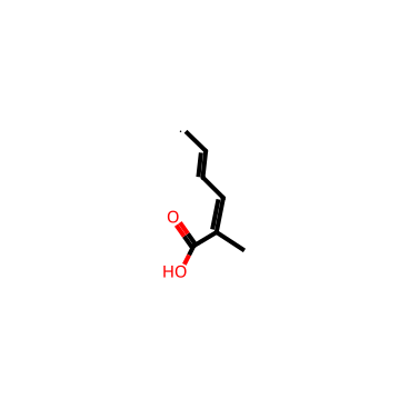 [CH2]C=CC=C(C)C(=O)O